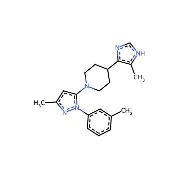 Cc1cccc(-n2nc(C)cc2N2CCC(c3nc[nH]c3C)CC2)c1